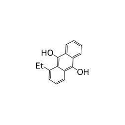 CCc1cccc2c(O)c3ccccc3c(O)c12